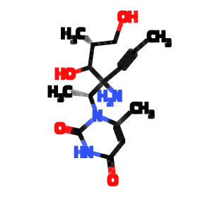 CC#CC(N)(C(O)[C@H](C)CO)[C@@H](C)n1c(C)cc(=O)[nH]c1=O